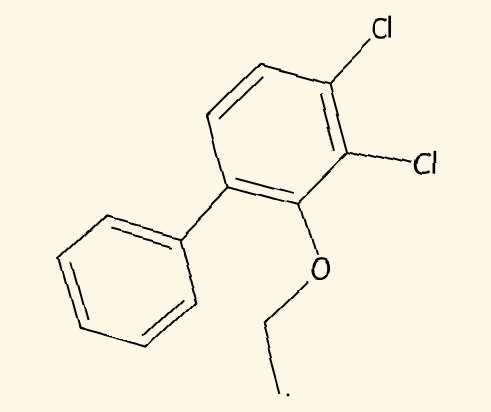 [CH2]COc1c(-c2ccccc2)ccc(Cl)c1Cl